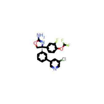 NC1=N[C@@](c2cccc(-c3cncc(Cl)c3)c2)(c2ccc(OC(F)F)c(F)c2)CO1